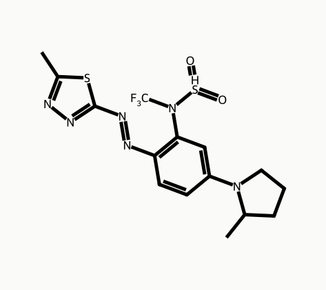 Cc1nnc(N=Nc2ccc(N3CCCC3C)cc2N([SH](=O)=O)C(F)(F)F)s1